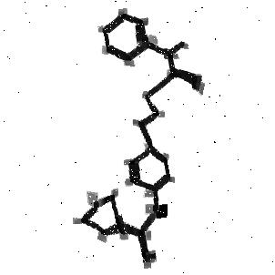 CN(C(=O)CCCc1ccc(NC(=N)N2CCCC2)cc1)c1ccccc1